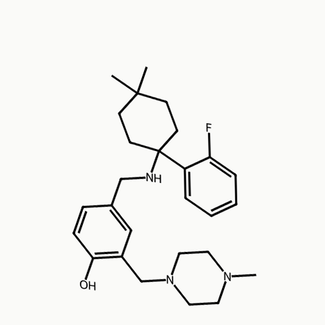 CN1CCN(Cc2cc(CNC3(c4ccccc4F)CCC(C)(C)CC3)ccc2O)CC1